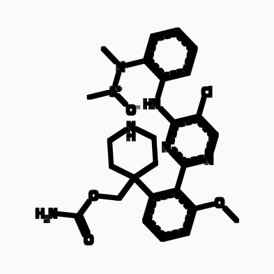 COc1cccc(C2(COC(N)=O)CCNCC2)c1-c1ncc(Cl)c(Nc2ccccc2N(C)[S+](C)[O-])n1